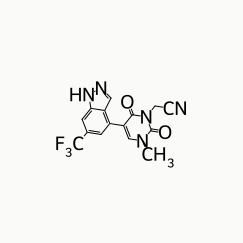 Cn1cc(-c2cc(C(F)(F)F)cc3[nH]ncc23)c(=O)n(CC#N)c1=O